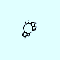 CC1Oc2cnc3[nH]cc(c3c2)C(=O)N(C)CCOc2ccc(F)c(Cl)c21